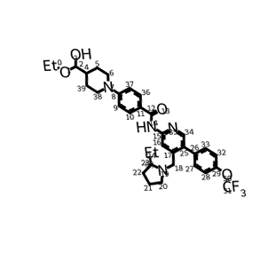 CCOC(O)C1CCN(c2ccc(C(=O)Nc3cc(CN4CCC[C@H]4CC)c(-c4ccc(OC(F)(F)F)cc4)cn3)cc2)CC1